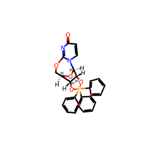 O=c1ccn2c(n1)OC[C@H]1O[C@@H]2[C@@H]2OP(c3ccccc3)(c3ccccc3)(c3ccccc3)O[C@@H]21